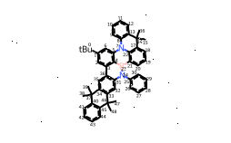 CC(C)(C)c1cc2c3c(c1)N1c4ccccc4C(C)(C)c4cccc(c41)B3N(c1ccccc1)c1cc3c(cc1-2)C(C)(C)c1ccccc1C3(C)C